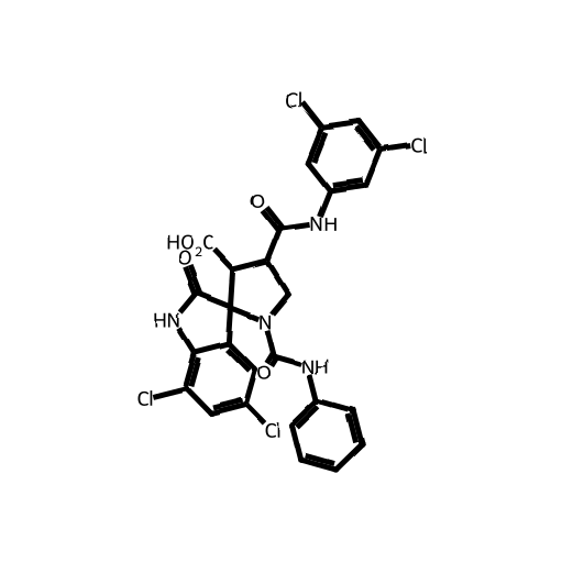 O=C(Nc1cc(Cl)cc(Cl)c1)C1CN(C(=O)Nc2ccccc2)C2(C(=O)Nc3c(Cl)cc(Cl)cc32)C1C(=O)O